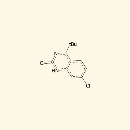 CC(C)(C)c1nc(=O)[nH]c2cc(Cl)ccc12